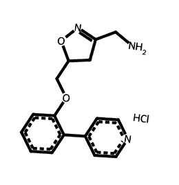 Cl.NCC1=NOC(COc2ccccc2-c2ccncc2)C1